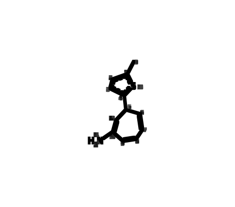 Cc1ccc(C2C=CC=CC(N)=C2)s1